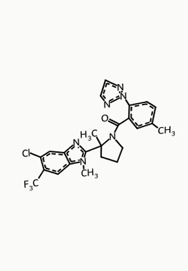 Cc1ccc(-n2nccn2)c(C(=O)N2CCCC2(C)c2nc3cc(Cl)c(C(F)(F)F)cc3n2C)c1